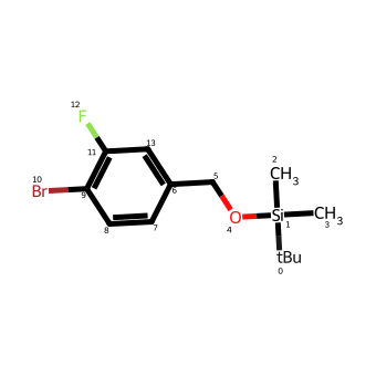 CC(C)(C)[Si](C)(C)OCc1ccc(Br)c(F)c1